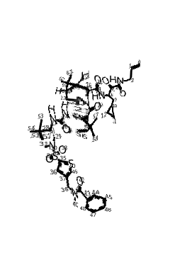 C=CCNC(=O)C(=O)C(CC1CC1)NC(=O)[C@@H]1[C@@H]2[C@H](CN1C(=O)[C@@H](NC(=O)N[C@H](CN(C)S(=O)(=O)c1cc(CN(C)C(=O)c3ccccc3)cs1)C(C)(C)C)C(C)(C)C)C2(C)C